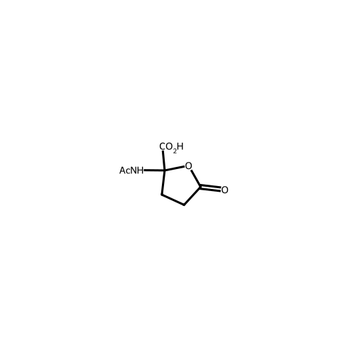 CC(=O)NC1(C(=O)O)CCC(=O)O1